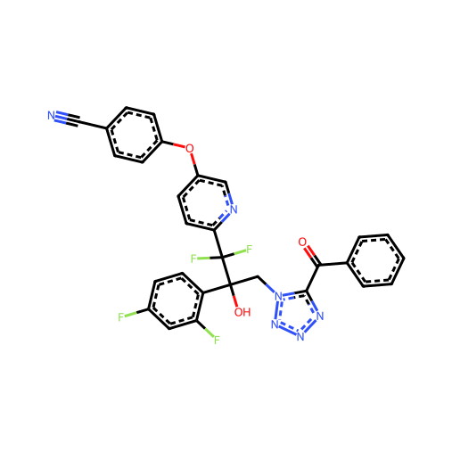 N#Cc1ccc(Oc2ccc(C(F)(F)C(O)(Cn3nnnc3C(=O)c3ccccc3)c3ccc(F)cc3F)nc2)cc1